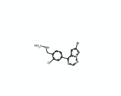 O=C(O)NCc1ccc(-c2ncnn3cc(Br)cc23)cc1Cl